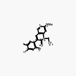 CNc1cc2c(cn1)cc(-c1cc(C)c(F)cc1Br)c(=O)n2CC(F)(F)F